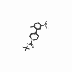 Cc1ccc([N+](=O)[O-])cc1C1=CCN(C(=O)OC(C)(C)C)CC1